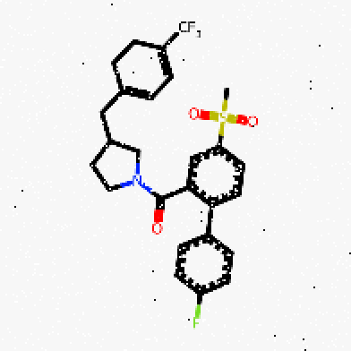 CS(=O)(=O)c1ccc(-c2ccc(F)cc2)c(C(=O)N2CCC(CC3=CC=C(C(F)(F)F)CC3)C2)c1